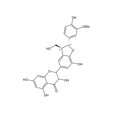 COc1cc([C@@H]2Oc3c(O)cc(C4Oc5cc(O)cc(O)c5C(=O)C4O)cc3[C@H]2CO)ccc1O